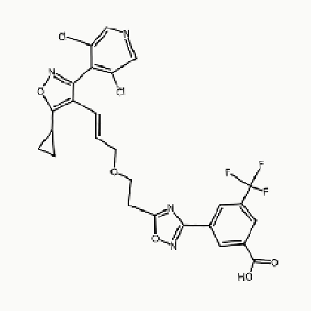 O=C(O)c1cc(-c2noc(CCOC/C=C/c3c(-c4c(Cl)cncc4Cl)noc3C3CC3)n2)cc(C(F)(F)F)c1